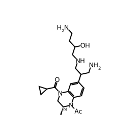 CC(=O)N1c2ccc(C(CN)CNCC(O)CCN)cc2N(C(=O)C2CC2)C[C@@H]1C